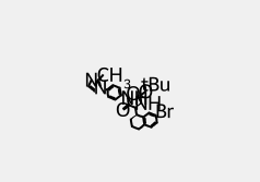 Cc1nccn1-c1ccc(NC(=O)[C@@H](NC(=O)OC(C)(C)C)[C@@H]2CCCc3ccc(Br)cc32)cc1